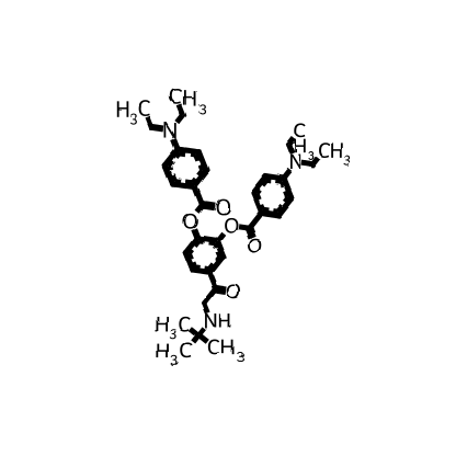 CCN(CC)c1ccc(C(=O)Oc2ccc(C(=O)CNC(C)(C)C)cc2OC(=O)c2ccc(N(CC)CC)cc2)cc1